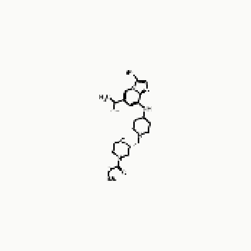 CCCCOC(=O)N1CCO[C@H](CN2CCC(Nc3cc(C(C)O)cn4c(C(C)C)cnc34)CC2)C1